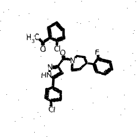 CC(=O)c1ccccc1Cl.O=C(c1cc(-c2ccc(Cl)cc2)[nH]n1)N1CCC(c2ccccc2F)CC1